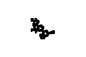 COC(=O)c1ccc(-c2cc(C#N)cc3ccoc23)cc1C(F)(F)F